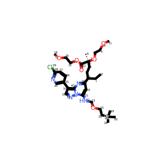 CCC(CC[C@](C)(OCCOC)C(=O)OCCOC)c1cc(NCOCC[Si](C)(C)C)n2ncc(-c3ccc(Cl)nc3)c2n1